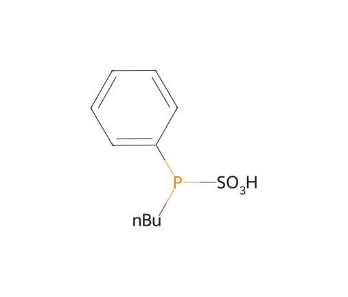 CCCCP(c1ccccc1)S(=O)(=O)O